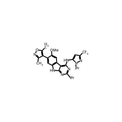 COc1cc2c(cc1-c1c(C)noc1C)[nH]c1nc(C(C)C)nc(Nc3cc(C(F)(F)F)nn3C(C)C)c12